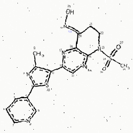 Cc1nc(-c2cccnc2)sc1-c1cnc2c(n1)/C(=N/O)CCN2S(C)(=O)=O